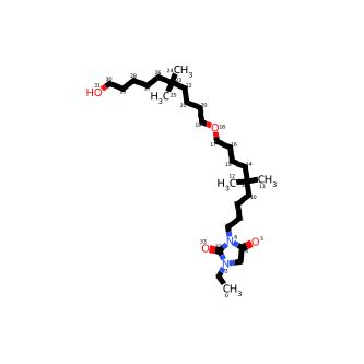 CCN1CC(=O)N(CCCCC(C)(C)CCCCOCCCCC(C)(C)CCCCCO)C1=O